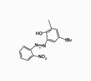 Cc1cc(C(C)(C)C)cc(/N=N/c2ccccc2[N+](=O)[O-])c1O